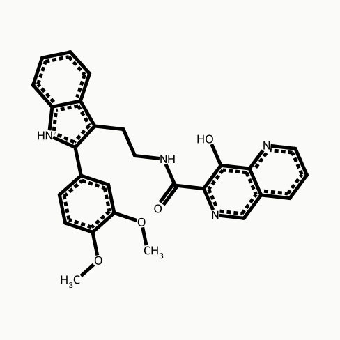 COc1ccc(-c2[nH]c3ccccc3c2CCNC(=O)c2ncc3cccnc3c2O)cc1OC